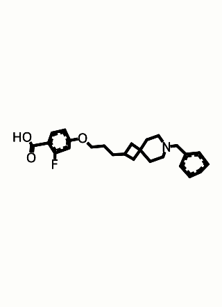 O=C(O)c1ccc(OCCCC2CC3(CCN(Cc4ccccc4)CC3)C2)cc1F